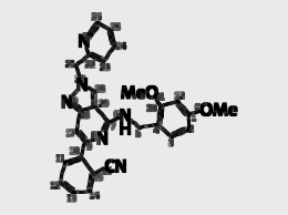 COc1ccc(CNc2nc(-c3ccccc3C#N)cc3nn(Cc4ccccn4)cc23)c(OC)c1